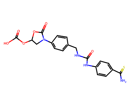 NC(=S)c1ccc(NC(=O)NCc2ccc(N3CC(OC(=O)O)OC3=O)cc2)cc1